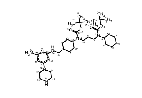 CC(C)(C)OC(=O)N(CCCN(C(=O)OC(C)(C)C)[C@H]1CC[C@H](CNc2nc(N)cc(N3CCNCC3)n2)CC1)C1CCCCC1